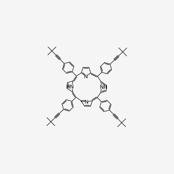 CC(C)(C)C#Cc1ccc(-c2c3nc(c(-c4ccc(C#CC(C)(C)C)cc4)c4ccc([nH]4)c(-c4ccc(C#CC(C)(C)C)cc4)c4nc(c(-c5ccc(C#CC(C)(C)C)cc5)c5ccc2[nH]5)C=C4)C=C3)cc1